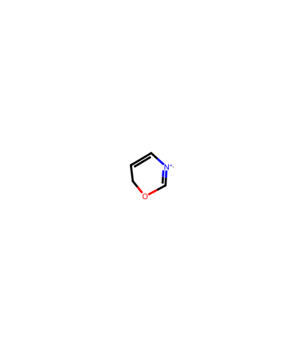 C1=C[N+]=COC1